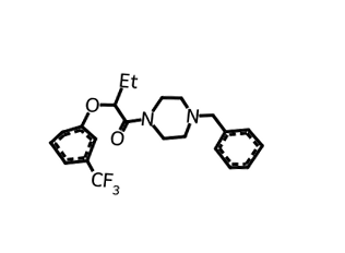 CCC(Oc1cccc(C(F)(F)F)c1)C(=O)N1CCN(Cc2ccccc2)CC1